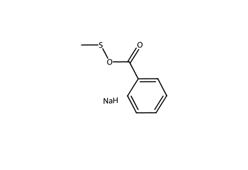 CSOC(=O)c1ccccc1.[NaH]